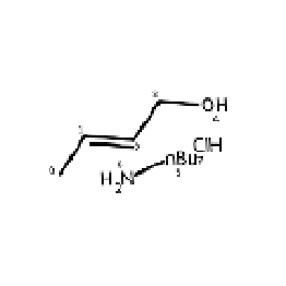 CC=CCO.CCCCN.Cl